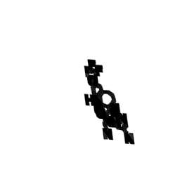 N#CCNC(=O)c1c2c(nn1-c1ccc(C#N)cn1)CCCc1cc(OCC(F)(F)F)ccc1NC2=O